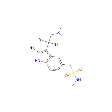 [2H]c1[nH]c2ccc(CS(=O)(=O)NC)cc2c1C([2H])([2H])CN(C)C